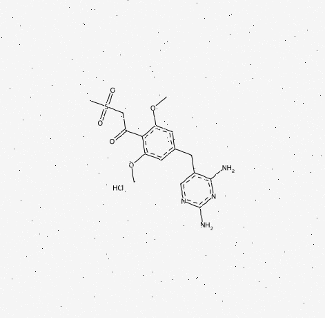 COc1cc(Cc2cnc(N)nc2N)cc(OC)c1C(=O)CS(C)(=O)=O.Cl